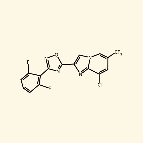 Fc1cccc(F)c1-c1noc(-c2cn3cc(C(F)(F)F)cc(Cl)c3n2)n1